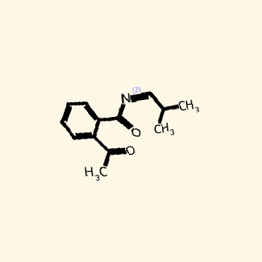 CC(=O)c1ccccc1C(=O)/N=C\C(C)C